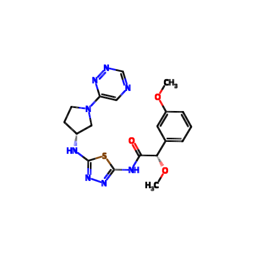 COc1cccc([C@H](OC)C(=O)Nc2nnc(N[C@@H]3CCN(c4cncnn4)C3)s2)c1